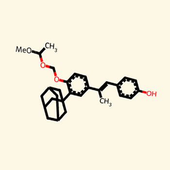 COC(C)OCOc1ccc(/C(C)=C/c2ccc(O)cc2)cc1C12CC3CC(CC(C3)C1)C2